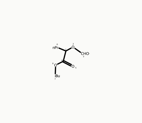 CCCC(O[C]=O)C(=O)OC(C)CC